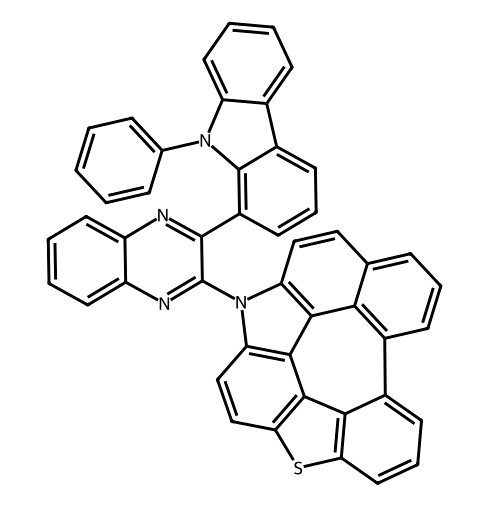 c1ccc(-n2c3ccccc3c3cccc(-c4nc5ccccc5nc4-n4c5ccc6cccc7c6c5c5c6c(ccc54)sc4cccc-7c46)c32)cc1